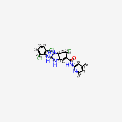 Cc1cc(C)nc(NC(=O)C2=CC3NC(Nc4c(Cl)cccc4Cl)NC3CC2F)c1